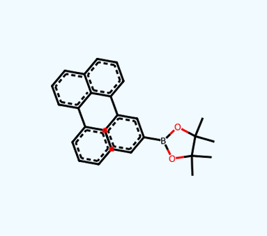 CC1(C)OB(c2cccc(-c3cccc4cccc(-c5ccccc5)c34)c2)OC1(C)C